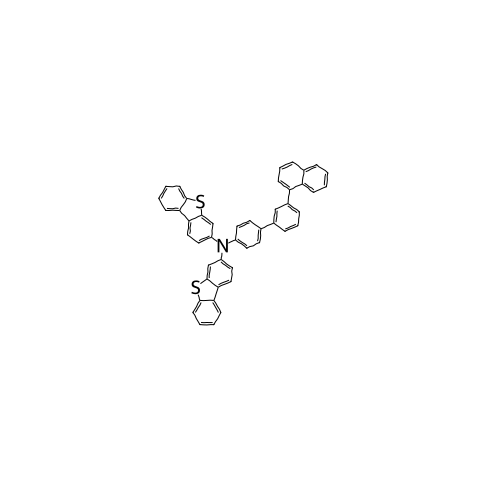 c1cc(-c2ccc(N(c3ccc4c(c3)sc3ccccc34)c3ccc4c(c3)sc3ccccc34)cc2)cc(-c2cccc3ccccc23)c1